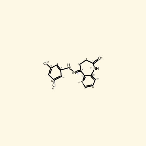 O=C1CC/C(=N\Nc2cc(Cl)cc(Cl)c2)c2ncccc2N1